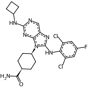 NC(=O)[C@H]1CC[C@@H](n2c(Nc3c(Cl)cc(F)cc3Cl)nc3cnc(NC4CCC4)nc32)CC1